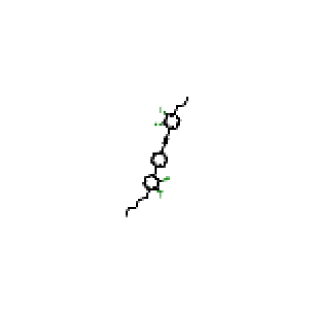 CCCCCc1ccc(-c2ccc(C#Cc3ccc(CCC)c(F)c3F)cc2)c(F)c1F